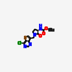 CC(C)(C)OC(=O)N[C@H]1CCN(Cc2csc3c(Cl)ncnc23)C1=O